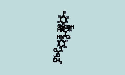 CCOC(=O)Cc1ccc(NC(=O)[C@H](CO)NS(=O)(=O)c2ccc(I)cc2)cc1